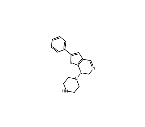 C1=NCN(N2CCNCC2)c2sc(-c3ccccc3)cc21